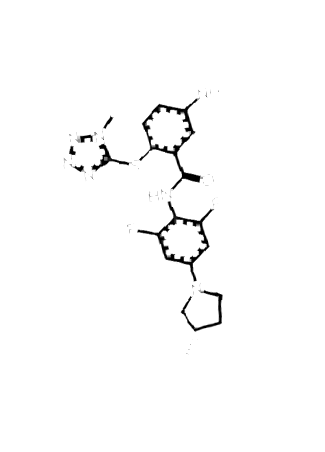 C[C@H]1CCN(c2cc(F)c(NC(=O)c3cc([N+](=O)[O-])ccc3Sc3nnnn3C)c(F)c2)C1